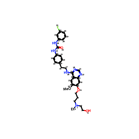 CCN(CCO)CCCOc1cc2ncnc(NCCc3ccc(NC(=O)Nc4cccc(F)c4)cc3)c2cc1OC